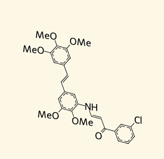 COc1cc(C=Cc2cc(OC)c(OC)c(OC)c2)cc(NC=CC(=O)c2cccc(Cl)c2)c1OC